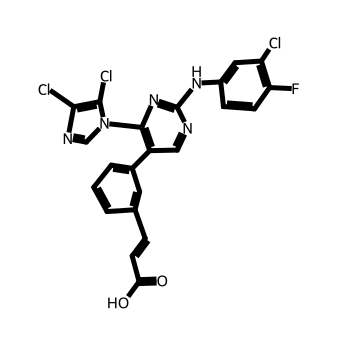 O=C(O)C=Cc1cccc(-c2cnc(Nc3ccc(F)c(Cl)c3)nc2-n2cnc(Cl)c2Cl)c1